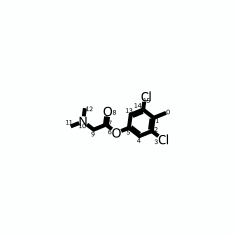 Cc1c(Cl)cc(OC(=O)CN(C)C)cc1Cl